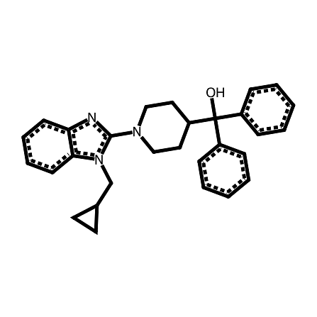 OC(c1ccccc1)(c1ccccc1)C1CCN(c2nc3ccccc3n2CC2CC2)CC1